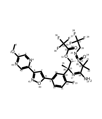 COc1cnc(-c2cc(-c3ccc(F)c([C@@]4(C)N=C(N)C(C)(C)[S@](=O)(=NCC(F)(F)F)C4OC(=O)C(F)(F)F)c3)on2)cn1